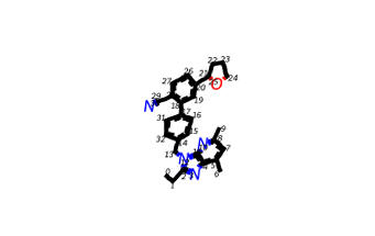 CCc1nc2c(C)cc(C)nc2n1Cc1ccc(-c2cc(C3CCCO3)ccc2C#N)cc1